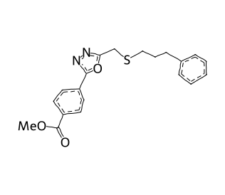 COC(=O)c1ccc(-c2nnc(CSCCCc3ccccc3)o2)cc1